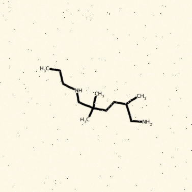 CCCNCC(C)(C)CCC(C)CN